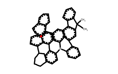 CC1(C)c2ccccc2-c2ccc(-c3ccccc3N(c3cccc(-c4cccc5ccccc45)c3)c3ccccc3-c3cccc4cccc(C5CCCCC5)c34)cc21